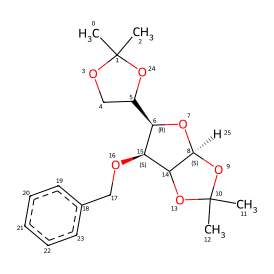 CC1(C)OCC([C@H]2O[C@H]3OC(C)(C)OC3[C@H]2OCc2ccccc2)O1